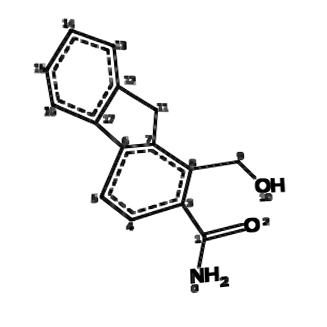 NC(=O)c1ccc2c(c1CO)Cc1ccccc1-2